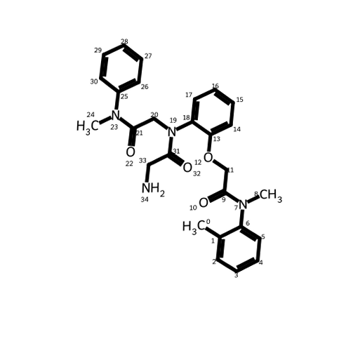 Cc1ccccc1N(C)C(=O)COc1ccccc1N(CC(=O)N(C)c1ccccc1)C(=O)CN